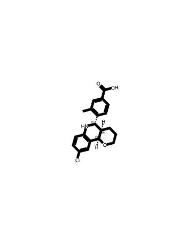 Cc1cc(C(=O)O)ccc1[C@H]1Nc2ccc(Cl)cc2[C@@H]2OCCC[C@H]12